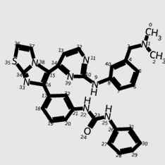 CN(C)Cc1cccc(Nc2nccc(-c3c(-c4cccc(NC(=O)Nc5ccccc5)c4)nc4sccn34)n2)c1